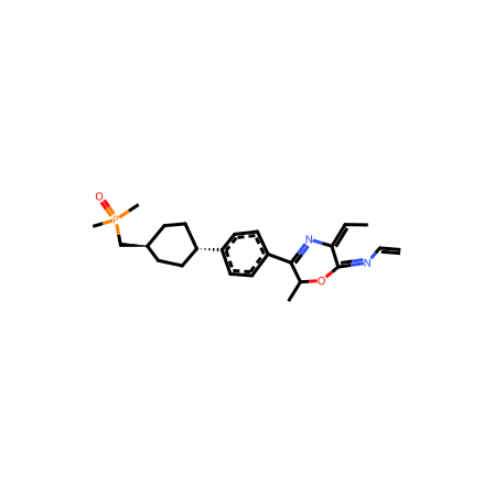 C=C/N=C1/OC(C)C(c2ccc([C@H]3CC[C@H](CP(C)(C)=O)CC3)cc2)=N/C1=C/C